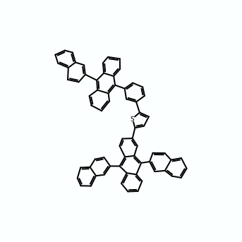 c1cc(-c2ccc(-c3ccc4c(-c5ccc6ccccc6c5)c5ccccc5c(-c5ccc6ccccc6c5)c4c3)s2)cc(-c2c3ccccc3c(-c3ccc4ccccc4c3)c3ccccc23)c1